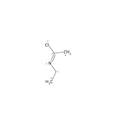 CC/N=C(\C)Cl